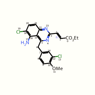 CCOC(=O)/C=C/c1nc(Cc2ccc(OC)c(Cl)c2)c2c(N)c(Cl)ccc2n1